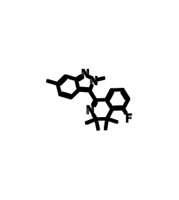 Cc1ccc2c(C3=NC(C)(C)C(C)(C)c4c(F)cccc43)n(C)nc2c1